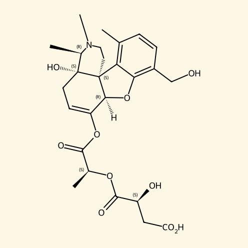 Cc1ccc(CO)c2c1[C@]13CCN(C)[C@H](C)[C@]1(O)CC=C(OC(=O)[C@H](C)OC(=O)[C@@H](O)CC(=O)O)[C@@H]3O2